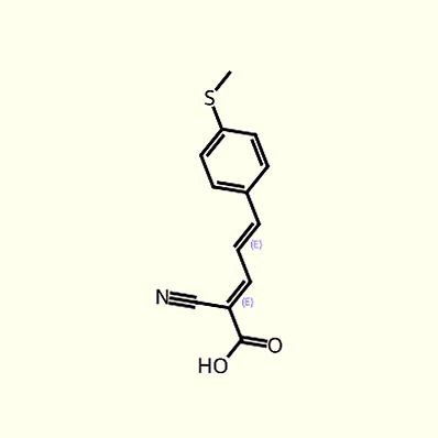 CSc1ccc(/C=C/C=C(\C#N)C(=O)O)cc1